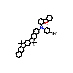 CC(C)c1ccc(N(c2ccc3cc4c(cc3c2)C(C)(C)c2cc3c(cc2-4)C(C)(C)c2cc4ccccc4cc2-3)c2cccc3c2oc2ccccc23)cc1